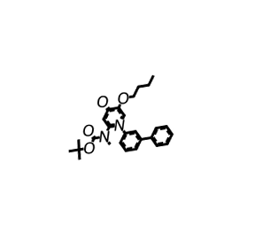 CCCCOc1cn(-c2cccc(-c3ccccc3)c2)c(N(C)C(=O)OC(C)(C)C)cc1=O